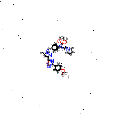 Cc1cc(-c2nc(-c3ccc(OC(F)(F)F)cc3)no2)nn1Cc1ccc(N(CCN2CCCC2)C(=O)OC(C)(C)C)cc1